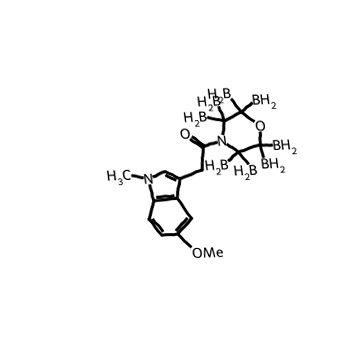 BC1(B)OC(B)(B)C(B)(B)N(C(=O)Cc2cn(C)c3ccc(OC)cc23)C1(B)B